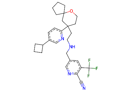 N#Cc1ncc(CNCCC2(c3ccc(C4CCC4)cn3)CCOC3(CCCC3)C2)cc1C(F)(F)F